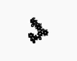 Cn1ccc2c(=O)n(CC3(O)CCN(C(=O)[C@@H]4CCN(C(=O)c5cc([N+](=O)[O-])c(-c6ccncc6)s5)C[C@H]4c4ccccc4)CC3)cnc21